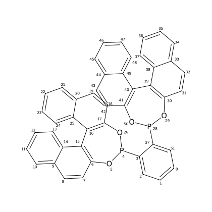 c1ccc(-p2oc3ccc4ccccc4c3c3c(ccc4ccccc43)o2)c(-p2oc3ccc4ccccc4c3c3c(ccc4ccccc43)o2)c1